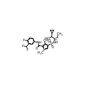 CC[C@@H](NS(=O)(=O)c1cn(C)c(C(=O)Nc2ccc(F)c(C(F)F)c2)c1C)C(O)C1CC1